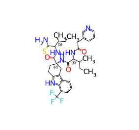 CCC(C)[C@H](NC(=O)Cc1cccnc1)C(=O)N[C@]1(C(=O)NC(C(N)=S)[C@@H](C)CC)CCc2[nH]c3c(C(F)(F)F)cccc3c2C1